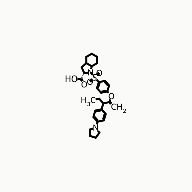 C=C(Oc1ccc(S(=O)(=O)N2C3CCCCC3C[C@H]2C(=O)O)cc1)C(CC)c1ccc(N2CCCC2)cc1